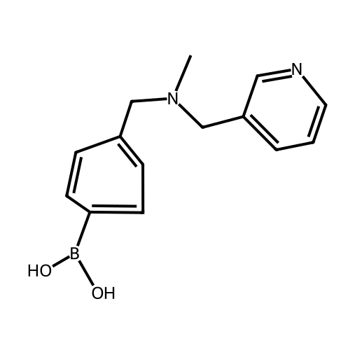 CN(Cc1ccc(B(O)O)cc1)Cc1cccnc1